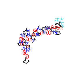 CC[C@H](C)[C@H](NC(=O)[C@H](CC(C)C)N(C)C(=O)C[C@@H](C(=O)N(C)C)N(C)C(=O)[C@H](C1CCCC1)N(C)C(=O)C1(NC(=O)OCc2ccccc2)CCCC1)C(=O)N(C)[C@@H](C)C(=O)N1CC[C@H]1C(=O)N(CC)[C@@H](Cc1ccc(C)cc1)C(=O)N(C)CC(=O)N[C@@H](CCc1cc(F)c(C(F)(F)F)c(F)c1)C(=O)N1C=CC=C[C@H]1C(=O)O